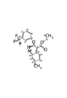 CCOC(=O)c1c(Oc2cccc(C(F)(F)F)c2)nnc2cc(C)ccc12